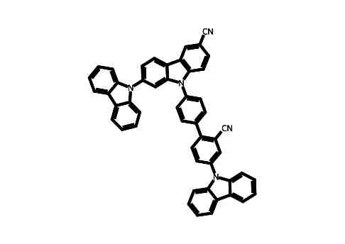 N#Cc1ccc2c(c1)c1ccc(-n3c4ccccc4c4ccccc43)cc1n2-c1ccc(-c2ccc(-n3c4ccccc4c4ccccc43)cc2C#N)cc1